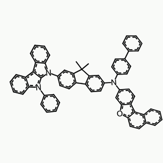 CC1(C)c2cc(N(c3ccc(-c4ccccc4)cc3)c3ccc4c(c3)oc3ccc5ccccc5c34)ccc2-c2ccc(-n3c4ccccc4c4c5ccccc5n(-c5ccccc5)c43)cc21